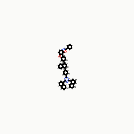 c1ccc(-c2nc3ccc4oc5cc(-c6ccc(-c7ccc(-c8nc(-c9cccc%10ccccc9%10)nc(-c9cccc%10ccccc9%10)n8)cc7)c7ccccc67)ccc5c4c3o2)cc1